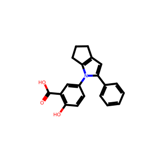 O=C(O)c1cc(-n2c(-c3ccccc3)cc3c2CCC3)ccc1O